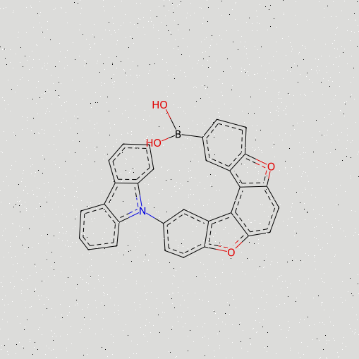 OB(O)c1ccc2oc3ccc4oc5ccc(-n6c7ccccc7c7ccccc76)cc5c4c3c2c1